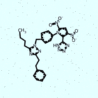 CCCCc1nc(CCc2ccccc2)nn1Cc1ccc(-n2c([N+](=O)[O-])cc([N+](=O)[O-])c2-c2nnn[nH]2)cc1